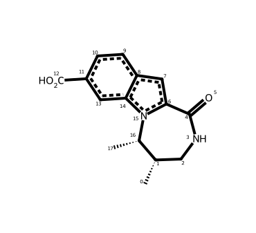 C[C@H]1CNC(=O)c2cc3ccc(C(=O)O)cc3n2[C@H]1C